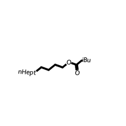 CCCCCCCCCCCOC(=O)C(C)CC